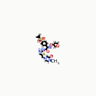 CN1CCN(Cc2cnc(NC(=O)/C(=N/O[C@@H]3CCOC3)c3ccc(S(=O)(=O)C4CC4)cc3)s2)CC1=O